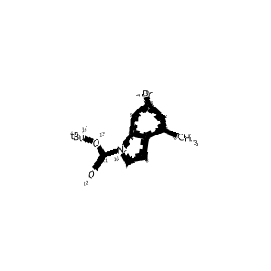 Cc1cc(Br)cc2c1ccn2C(=O)OC(C)(C)C